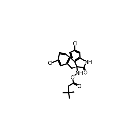 CC(C)(C)CC(=O)ON[C@@]1(Cc2cccc(Cl)c2)C(=O)Nc2cc(Cl)ccc21